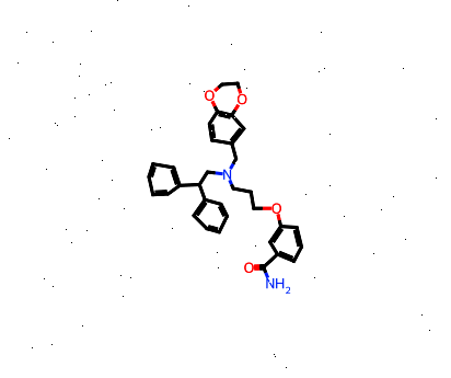 NC(=O)c1cccc(OCCCN(Cc2ccc3c(c2)OCCO3)CC(c2ccccc2)c2ccccc2)c1